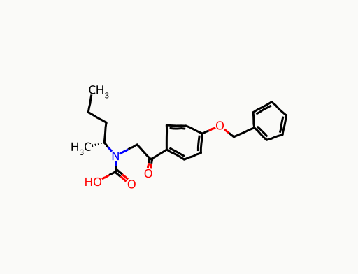 CCC[C@@H](C)N(CC(=O)c1ccc(OCc2ccccc2)cc1)C(=O)O